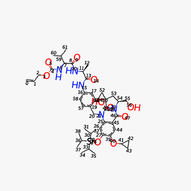 C=CCOC(=O)N[C@H](C(=O)N[C@@H](C)C(=O)Nc1ccc(CN(C(=O)O)c2cc(O[Si](C(C)C)(C(C)C)C(C)C)c(OC3CC3)cc2C(=O)N2CC3(CC3)C[C@H]2CO)cc1)C(C)C